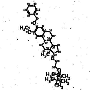 COc1cc2c(cc1OCc1ccccc1)CCC1C2CC[C@@]2(C)C1CC[C@@H]2OCCO[Si](C)(C)C(C)(C)C